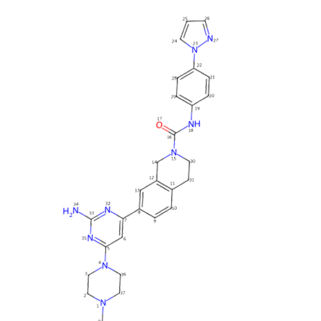 CN1CCN(c2cc(-c3ccc4c(c3)CN(C(=O)Nc3ccc(-n5cccn5)cc3)CC4)nc(N)n2)CC1